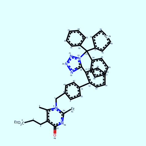 CCOC(=O)CCc1c(C)n(Cc2ccc(-c3ccccc3-c3nnnn3C(c3ccccc3)(c3ccccc3)c3ccccc3)cc2)c(CC)nc1=O